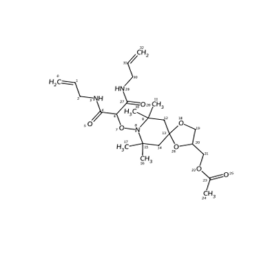 C=CCNC(=O)C(ON1C(C)(C)CC2(CC1(C)C)OCC(COC(C)=O)O2)C(=O)NCC=C